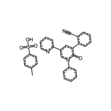 Cc1ccc(S(=O)(=O)O)cc1.N#Cc1ccccc1-c1cc(-c2ccccn2)cn(-c2ccccc2)c1=O